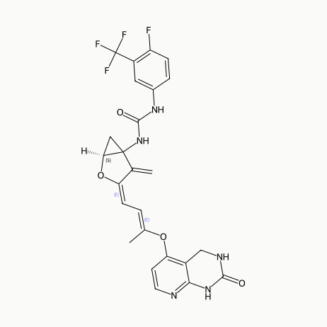 C=C1/C(=C\C=C(/C)Oc2ccnc3c2CNC(=O)N3)O[C@H]2CC12NC(=O)Nc1ccc(F)c(C(F)(F)F)c1